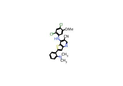 COc1cc(Nc2c(C#N)cnc3cc(-c4ccccc4N(C)C)sc23)c(Cl)cc1Cl